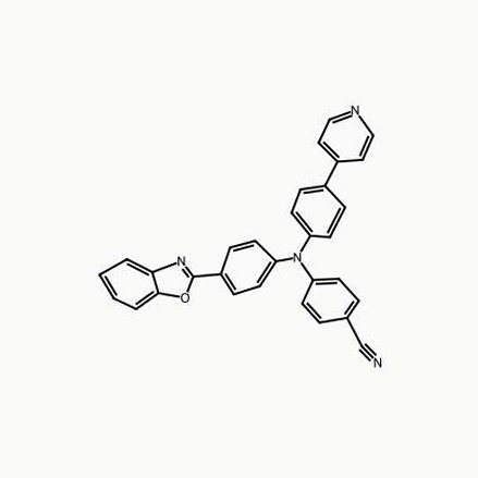 N#Cc1ccc(N(c2ccc(-c3ccncc3)cc2)c2ccc(-c3nc4ccccc4o3)cc2)cc1